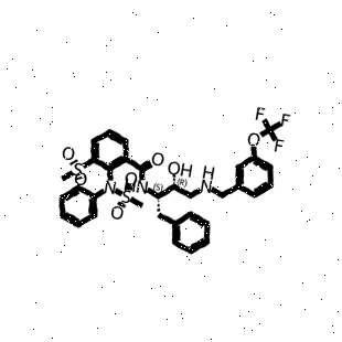 CS(=O)(=O)c1cccc(C(=O)N[C@@H](Cc2ccccc2)[C@H](O)CNCc2cccc(OC(F)(F)F)c2)c1N(c1ccccc1)S(C)(=O)=O